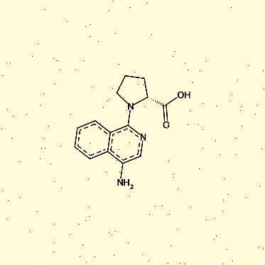 Nc1cnc(N2CCC[C@@H]2C(=O)O)c2ccccc12